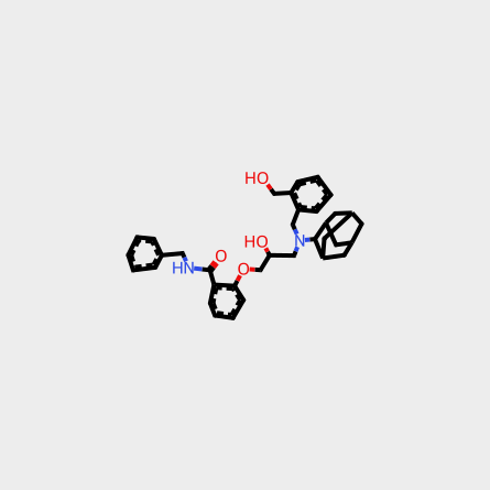 O=C(NCc1ccccc1)c1ccccc1OCC(O)CN(Cc1ccccc1CO)C1C2CC3CC(C2)CC1C3